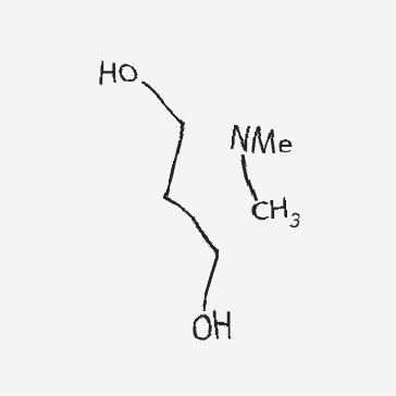 CNC.OCCCO